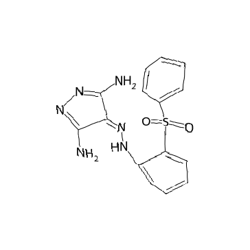 NC1=NN=C(N)C1=NNc1ccccc1S(=O)(=O)c1ccccc1